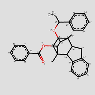 CC12CCC(C)(C(OC(=O)c3ccccc3)C1OC(C=O)c1ccccc1)C1c3ccccc3CC12